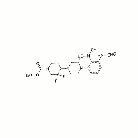 CN(C)c1c(NC=O)cccc1N1CCN(C2CCN(C(=O)OC(C)(C)C)CC2(F)F)CC1